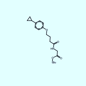 CC(C)(C)OC(=O)CNC(=O)CCCOc1ccc(C2CC2)cc1